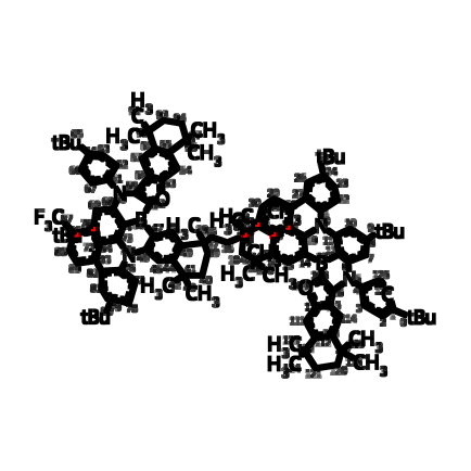 CC(C)(C)c1ccc(N2c3cc(C(C)(C)C)cc4c3B(c3cc5c(cc3N4c3ccc(C(C)(C)C)cc3-c3ccc([Si](C)(C)CCC4(C)CCC(C)(C)c6cc7c(cc64)B4c6oc8cc9c(cc8c6N(c6ccc(C(C)(C)C)cc6)c6cc(C(C)(C)C)cc(c64)N7c4ccc(C(C)(C)C)cc4-c4ccc(C(F)(F)F)cc4)C(C)(C)CCC9(C)C)cc3)C(C)(C)CCC5(C)C)c3oc4cc5c(cc4c32)C(C)(C)CCC5(C)C)cc1